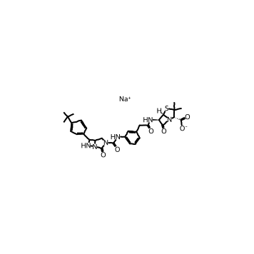 CC(C)(C)c1ccc(C2NN3C(=O)N(C(=O)Nc4cccc(CC(=O)N[C@@H]5C(=O)N6[C@@H]5SC(C)(C)[C@@H]6C(=O)[O-])c4)CC23)cc1.[Na+]